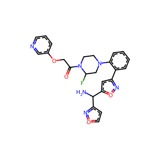 NC(c1ccon1)c1cc(-c2ccccc2N2CCN(C(=O)COc3cccnc3)C(F)C2)no1